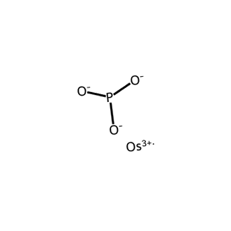 [O-]P([O-])[O-].[Os+3]